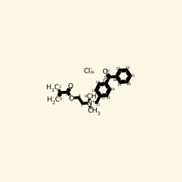 C=C(C)C(=O)OCC[N+](C)(C)Cc1ccc(C(=O)c2ccccc2)cc1.[Cl-]